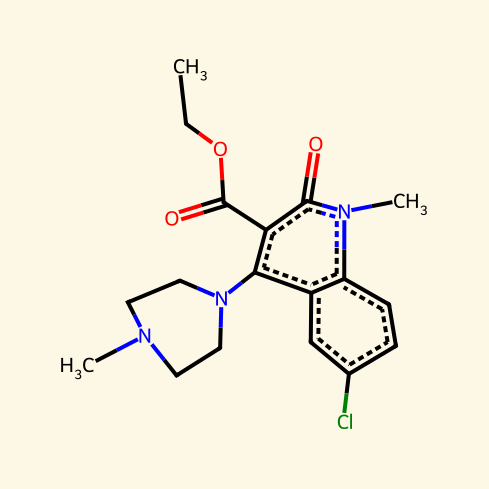 CCOC(=O)c1c(N2CCN(C)CC2)c2cc(Cl)ccc2n(C)c1=O